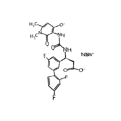 Cc1cc([O-])c(NC(=O)N[C@@H](CC(=O)[O-])c2cc(F)cc(-c3ccc(F)cc3F)c2)c(=O)n1C.[Na+].[Na+]